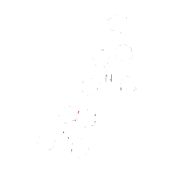 c1ccc(-c2ccc(-c3ccccc3-n3c4ccccc4c4ccc(-c5ccc(-c6ccccc6N(c6ccccc6)c6ccccc6)cc5)cc43)cc2)cc1